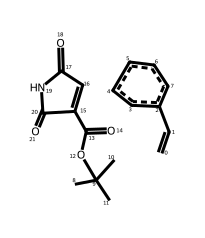 C=Cc1ccccc1.CC(C)(C)OC(=O)C1=CC(=O)NC1=O